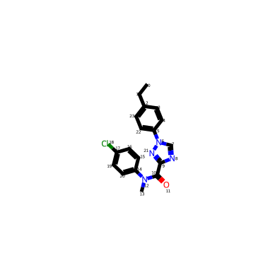 CCc1ccc(-n2cnc(C(=O)N(C)c3ccc(Cl)cc3)n2)cc1